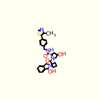 Cc1ncsc1-c1ccc(CNC(=O)[C@@H]2C[C@@H](O)CN2C(=O)C2(N3Cc4ccccc4C3O)CCC2)cc1